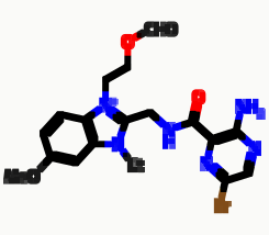 CCn1c(CNC(=O)c2nc(Br)cnc2N)[n+](CCOC=O)c2ccc(OC)cc21